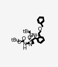 CC(C)(C)OC(=O)Nc1ncc([C@H](N[S+]([O-])C(C)(C)C)c2ccccc2CCOCc2ccccc2)s1